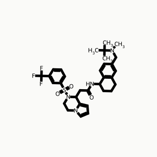 CN(Cc1ccc2c(c1)CCCC2NC(=O)CC1c2cccn2CCN1S(=O)(=O)c1cccc(C(F)(F)F)c1)C(C)(C)C